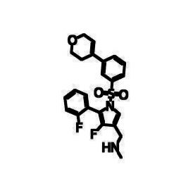 CNCc1cn(S(=O)(=O)c2cccc(C3=CCOCC3)c2)c(-c2ccccc2F)c1F